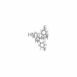 Fc1ccc(-c2nc3n(c2Nc2ccc(F)cc2F)CCNC3)cc1